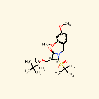 COc1ccc(CN2C(=O)[C@H](CO[Si](C)(C)C(C)(C)C)[C@H]2S(=O)(=O)C(C)(C)C)c(OC)c1